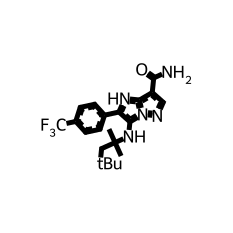 CC(C)(C)CC(C)(C)Nc1c(-c2ccc(C(F)(F)F)cc2)[nH]c2c(C(N)=O)cnn12